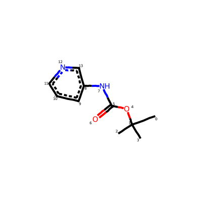 CC(C)(C)OC(=O)Nc1c[c]cnc1